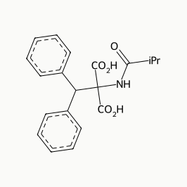 CC(C)C(=O)NC(C(=O)O)(C(=O)O)C(c1ccccc1)c1ccccc1